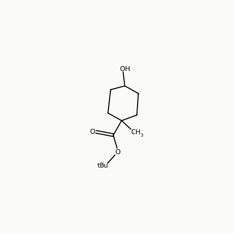 CC(C)(C)OC(=O)C1(C)CCC(O)CC1